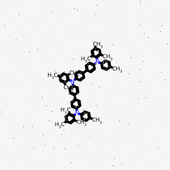 Cc1ccc(N(c2ccc(-c3ccc(N(c4ccc(-c5ccc(N(c6ccc(C)cc6)c6c(C)cc(C)cc6C)cc5)cc4)c4c(C)cc(C)cc4C)cc3)cc2)c2c(C)cc(C)cc2C)cc1